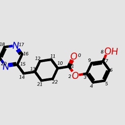 O=C(Oc1cccc(O)c1)C1CCC(Cc2cnccn2)CC1